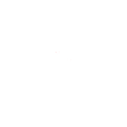 CC#CC#COC(=O)CCCC